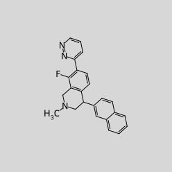 CN1Cc2c(ccc(-c3cccnn3)c2F)C(c2ccc3ccccc3c2)C1